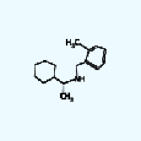 Cc1ccccc1CN[C@H](C)C1CCCCC1